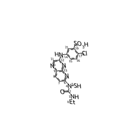 CCNC(=O)N(S)c1ccc2ncc(Nc3ccc(Cl)c(S(=O)(=O)O)c3)nc2n1